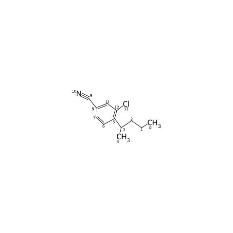 CCCC(C)c1ccc(C#N)cc1Cl